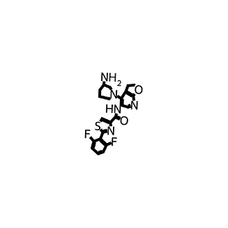 NC1CCCN(c2c(NC(=O)c3csc(-c4c(F)cccc4F)n3)cnc3c2CCO3)C1